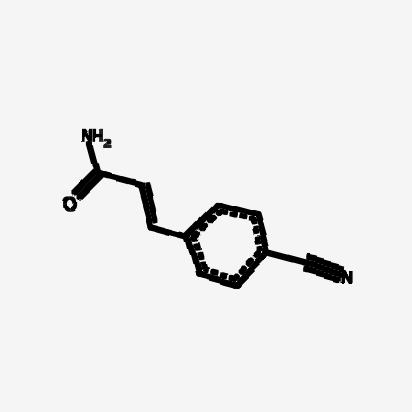 N#Cc1ccc(/C=C/C(N)=O)cc1